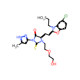 Cc1cc(N2C(=O)C(=CC=C3Oc4ccc(Cl)cc4N3CCS(=O)(=O)O)N(CCOCCO)C2=S)n[nH]1